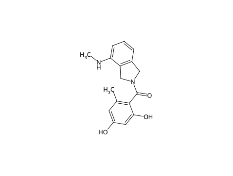 CNc1cccc2c1CN(C(=O)c1c(C)cc(O)cc1O)C2